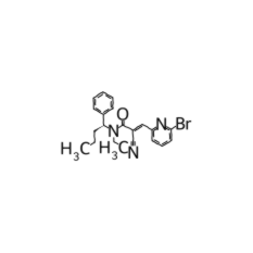 CCC[C@@H](c1ccccc1)N(CC)C(=O)/C(C#N)=C/c1cccc(Br)n1